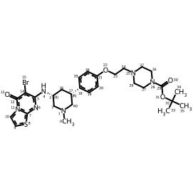 CN1C[C@H](Nc2nc3sccn3c(=O)c2Br)C[C@H](c2ccc(OCCN3CCN(C(=O)OC(C)(C)C)CC3)cc2)C1